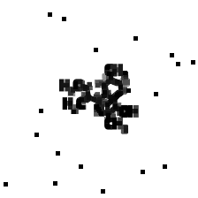 C=CC(=C)C1=NC2(C)Cc3cc(C)cc1c3C2O